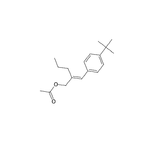 CCC/C(=C\c1ccc(C(C)(C)C)cc1)COC(C)=O